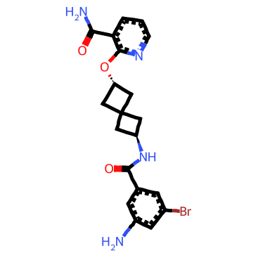 NC(=O)c1cccnc1O[C@H]1CC2(C[C@H](NC(=O)c3cc(N)cc(Br)c3)C2)C1